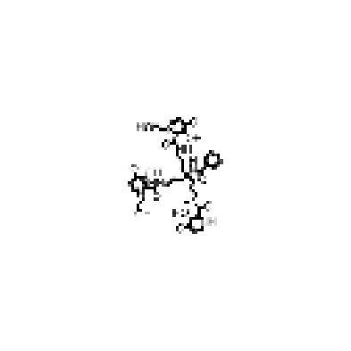 O=C(NC(CCCNC(=O)c1[nH]ccc(=O)c1O)(CCCNC(=O)c1c(O)c(=O)ccn1CCO)CCCNC(=O)c1c(O)c(=O)ccn1CCO)c1ccccc1